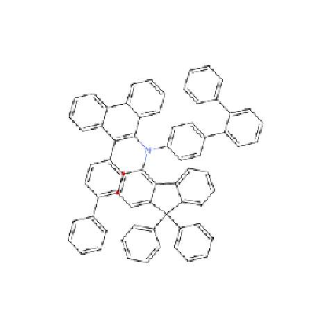 c1ccc(-c2ccc(-c3c(N(c4ccc(-c5ccccc5-c5ccccc5)cc4)c4cccc5c4-c4ccccc4C5(c4ccccc4)c4ccccc4)c4ccccc4c4ccccc34)cc2)cc1